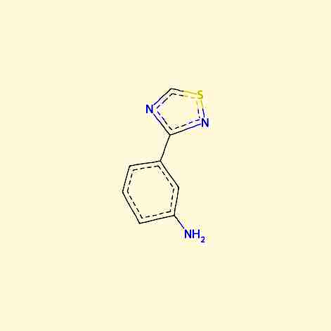 Nc1cccc(-c2ncsn2)c1